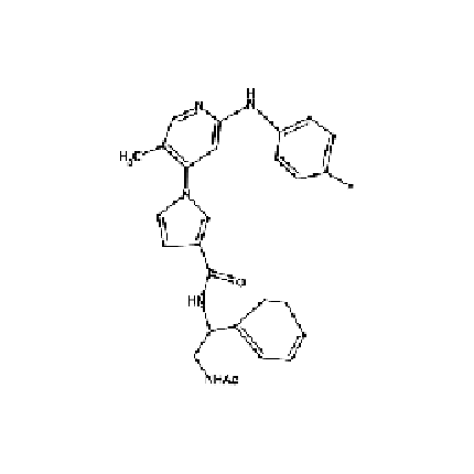 CC(=O)NCC(NC(=O)c1ccn(-c2cc(Nc3ccc(F)cc3)ncc2C)c1)C1=CC=CCC1